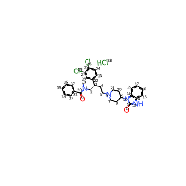 CN(C[C@@H](CCN1CCC(n2c(=O)[nH]c3ccccc32)CC1)c1ccc(Cl)c(Cl)c1)C(=O)c1ccccc1.Cl